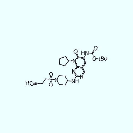 C#CCCS(=O)(=O)N1CCC(Nc2ncc3cc(NC(=O)OC(C)(C)C)c(=O)n(C4CCCC4)c3n2)CC1